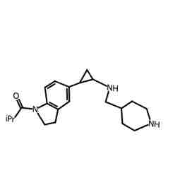 CC(C)C(=O)N1CCc2cc(C3CC3NCC3CCNCC3)ccc21